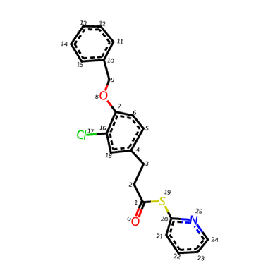 O=C(CCc1ccc(OCc2ccccc2)c(Cl)c1)Sc1ccccn1